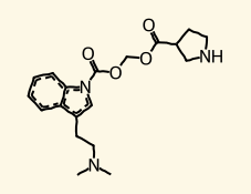 CN(C)CCc1cn(C(=O)OCOC(=O)C2CCNC2)c2ccccc12